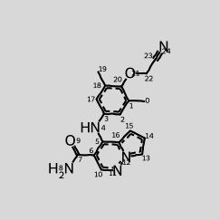 Cc1cc(Nc2c(C(N)=O)cnn3cccc23)cc(C)c1OCC#N